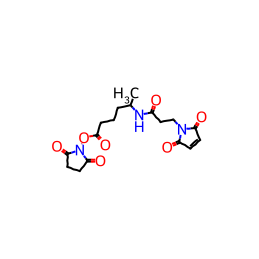 CC(CCCC(=O)ON1C(=O)CCC1=O)NC(=O)CCN1C(=O)C=CC1=O